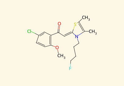 COc1ccc(Cl)cc1C(=O)C=C1SC(C)=C(C)N1CCCCF